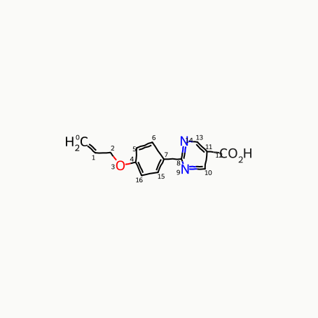 C=CCOc1ccc(-c2ncc(C(=O)O)cn2)cc1